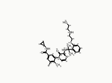 Cc1c(F)cc(C(=O)NC2CC2)cc1-n1ccnc(NC(C)(C)c2ccccc2SCCNCCO)c1=O